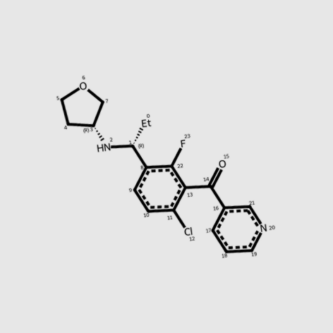 CC[C@@H](N[C@@H]1CCOC1)c1ccc(Cl)c(C(=O)c2cccnc2)c1F